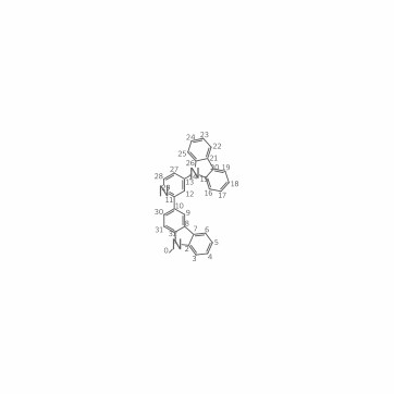 Cn1c2ccccc2c2cc(-c3cc(-n4c5ccccc5c5ccccc54)ccn3)ccc21